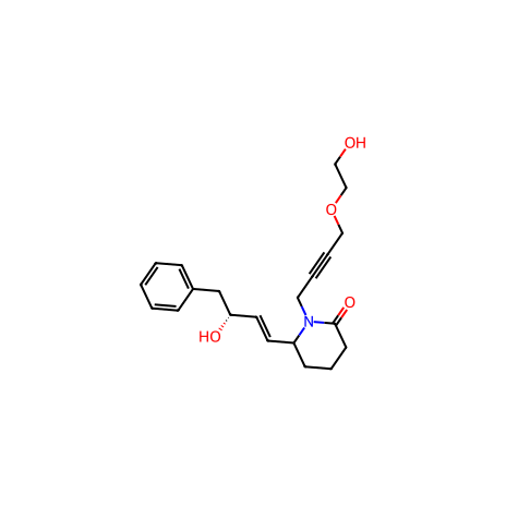 O=C1CCCC(/C=C/[C@H](O)Cc2ccccc2)N1CC#CCOCCO